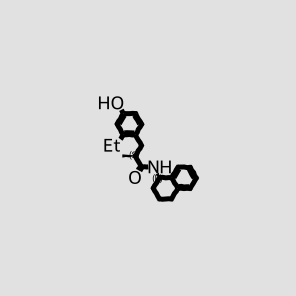 CCc1cc(O)ccc1C[C@H](C)C(=O)N[C@@H]1CCCc2ccccc21